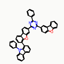 c1ccc(-c2nc(-c3ccc4c(c3)oc3c(-c5cccc6c7ccccc7n(-c7ccccc7)c56)cccc34)nc(-c3ccc4oc5ccccc5c4c3)n2)cc1